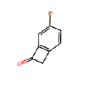 O=C1Cc2ccc(Br)cc21